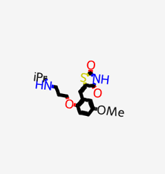 COc1ccc(OCCCNC(C)C)c(C=C2SC(=O)NC2=O)c1